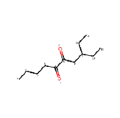 CCCCC(=O)C(=O)CC(CC)CC